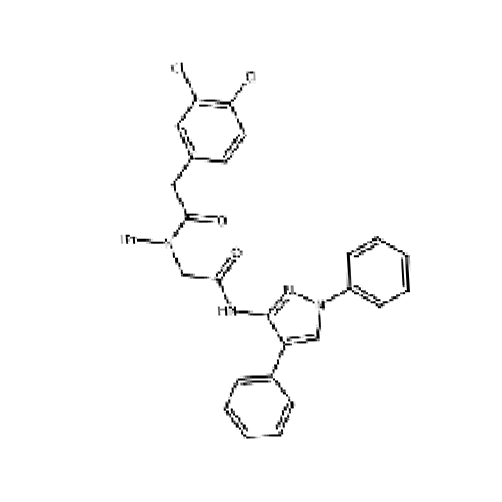 CC(C)N(CC(=O)Nc1nn(-c2ccccc2)cc1-c1ccccc1)C(=O)Cc1ccc(Cl)c(Cl)c1